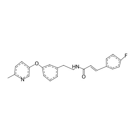 Cc1ccc(Oc2cccc(CCNC(=O)C=Cc3ccc(F)cc3)c2)cn1